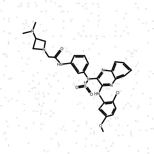 COc1ccc(Cl)c(Nc2nc3ccccc3nc2N(c2cccc(NC(=O)CN3CC(N(C)C)C3)c2)[SH](=O)=O)c1